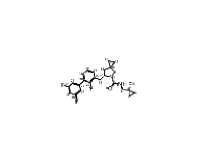 O=C(NCC1(F)CC1)N1CC2(CC2)C[C@@H]1Cc1cccc(-c2cc(F)cc(F)c2)c1F